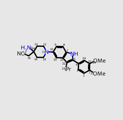 COc1ccc(-c2[nH]c3ccc(N4CCC(N)(CC#N)CC4)cc3c2C(C)C)cc1OC